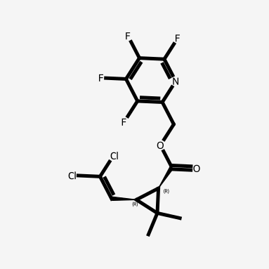 CC1(C)[C@H](C(=O)OCc2nc(F)c(F)c(F)c2F)[C@@H]1C=C(Cl)Cl